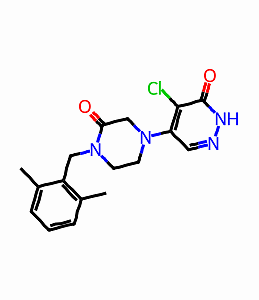 Cc1cccc(C)c1CN1CCN(c2cn[nH]c(=O)c2Cl)CC1=O